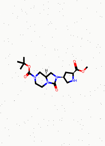 COC(=O)[C@@H]1C[C@H](N2C[C@@H]3CN(C(=O)OC(C)(C)C)CCN3C2=O)CN1